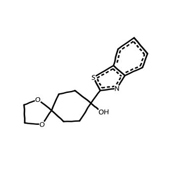 OC1(c2nc3ccccc3s2)CCC2(CC1)OCCO2